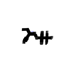 CC/C(C#N)=N/OS(=O)(=O)C(F)(F)F